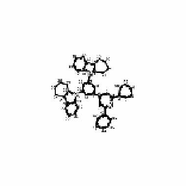 c1ccc(-c2cc(-c3cc(-n4c5c(c6ccccc64)CCCC5)cc(-n4c5c(c6ccccc64)CCCC5)c3)cc(-c3ccccc3)n2)cc1